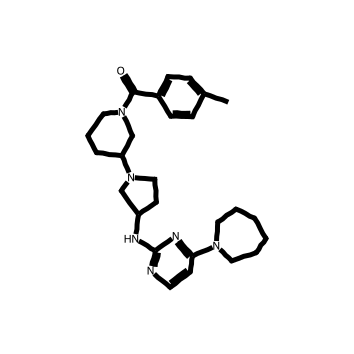 Cc1ccc(C(=O)N2CCCC(N3CCC(Nc4nccc(N5CCCCCC5)n4)C3)C2)cc1